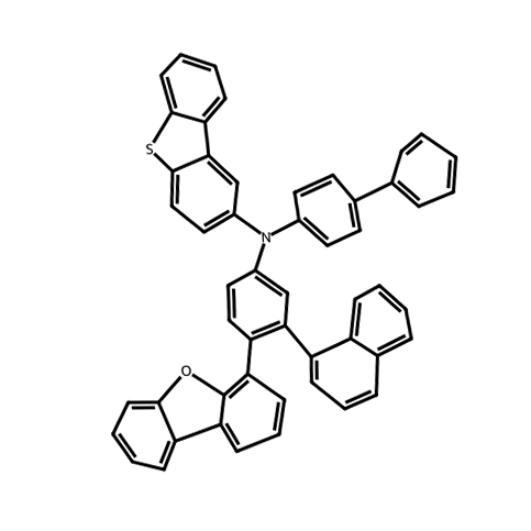 c1ccc(-c2ccc(N(c3ccc(-c4cccc5c4oc4ccccc45)c(-c4cccc5ccccc45)c3)c3ccc4sc5ccccc5c4c3)cc2)cc1